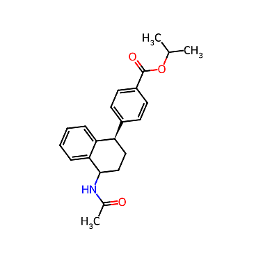 CC(=O)NC1CC[C@H](c2ccc(C(=O)OC(C)C)cc2)c2ccccc21